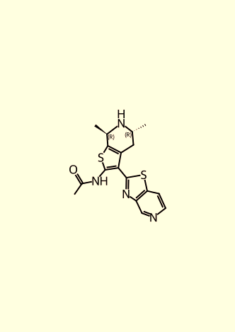 CC(=O)Nc1sc2c(c1-c1nc3cnccc3s1)C[C@@H](C)N[C@@H]2C